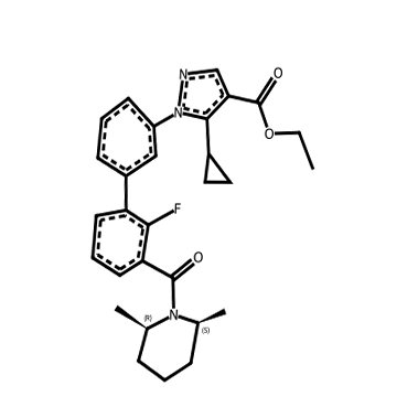 CCOC(=O)c1cnn(-c2cccc(-c3cccc(C(=O)N4[C@H](C)CCC[C@@H]4C)c3F)c2)c1C1CC1